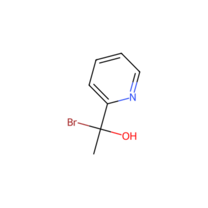 CC(O)(Br)c1ccccn1